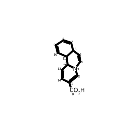 O=C(O)C1=CN2C=CC3C=CC=CC3C2C=C1